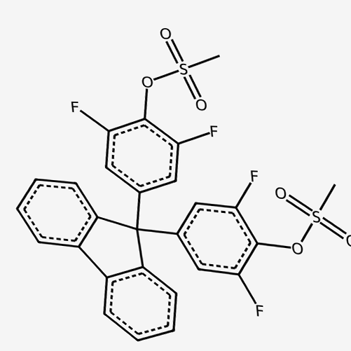 CS(=O)(=O)Oc1c(F)cc(C2(c3cc(F)c(OS(C)(=O)=O)c(F)c3)c3ccccc3-c3ccccc32)cc1F